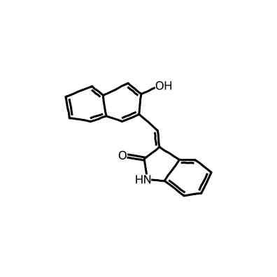 O=C1Nc2ccccc2C1=Cc1cc2ccccc2cc1O